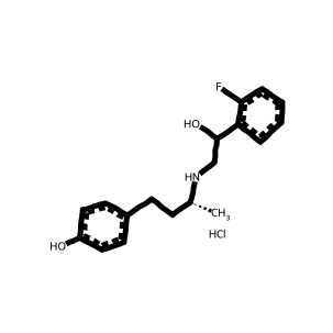 C[C@H](CCc1ccc(O)cc1)NCC(O)c1ccccc1F.Cl